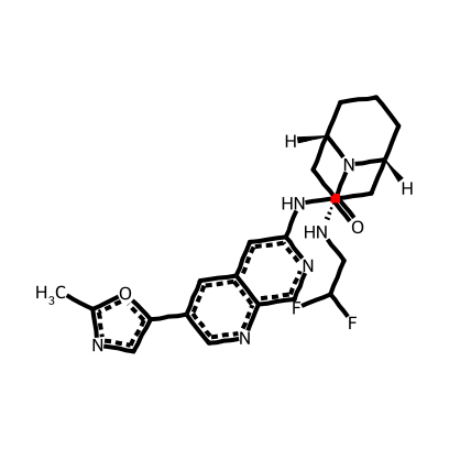 Cc1ncc(-c2cnc3cnc(NC(=O)N4[C@@H]5CCC[C@H]4C[C@@H](NCC(F)F)C5)cc3c2)o1